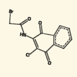 O=C(CBr)NC1=C(Cl)C(=O)c2ccccc2C1=O